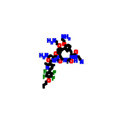 CCCCOc1c(F)c(F)c(-c2cc(C)c(C(=O)N[C@@H](CCN)C(=O)N(C)[C@@H]3C(=O)N[C@@H](C)C(=O)N[C@H](C(=O)NCC#N)Cc4ccc(OCCN)c(c4)-c4cc3ccc4OCCN)c(C)n2)c(F)c1F